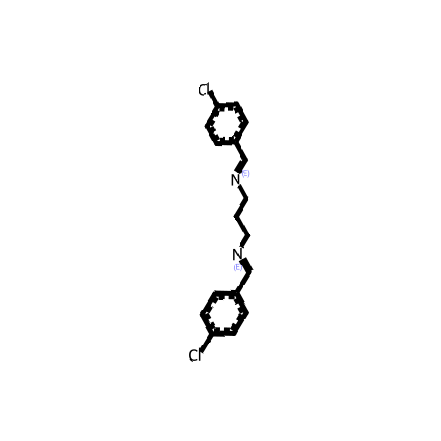 Clc1ccc(/C=N/CCC/N=C/c2ccc(Cl)cc2)cc1